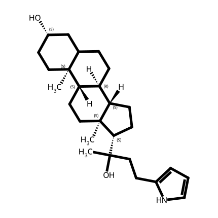 CC(O)(CCc1ccc[nH]1)[C@H]1CC[C@H]2[C@@H]3CCC4C[C@@H](O)CC[C@]4(C)[C@H]3CC[C@]12C